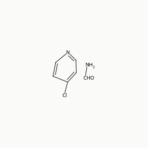 Clc1ccncc1.NC=O